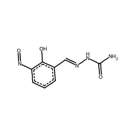 NC(=O)N/N=C/c1cccc(N=O)c1O